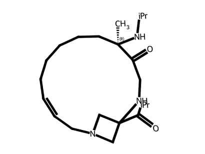 CC(C)N[C@]1(C)CCCCCC=CCN2CC(C(=O)C(C)C)(C2)NCC1=O